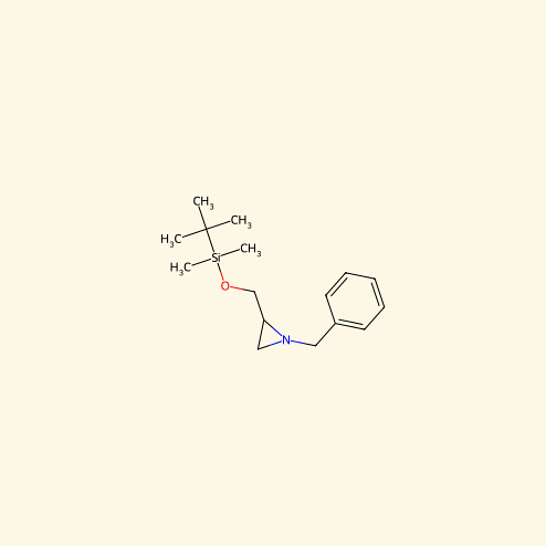 CC(C)(C)[Si](C)(C)OCC1CN1Cc1ccccc1